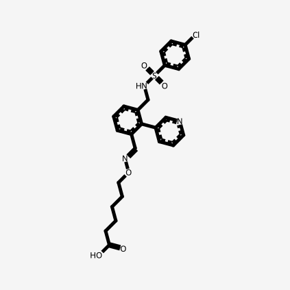 O=C(O)CCCCCON=Cc1cccc(CNS(=O)(=O)c2ccc(Cl)cc2)c1-c1cccnc1